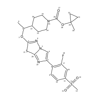 CC(Oc1nn2cc(-c3ccc(S(C)(=O)=O)cc3F)nc2s1)C1CCN(C(=O)OC2(C)CC2)CC1